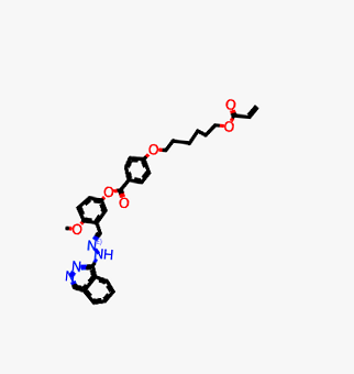 C=CC(=O)OCCCCCCOc1ccc(C(=O)Oc2ccc(OC)c(/C=N/Nc3nncc4ccccc34)c2)cc1